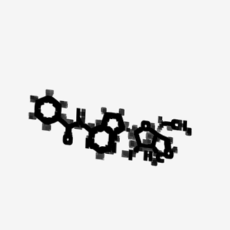 CC[C@@]1(C=O)O[C@@H](c2ccc3c(NC(=O)c4ccccc4)ncnn23)[C@H](F)[C@@H]1C